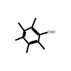 Cc1c(C)c(C)c([C]=O)c(C)c1C